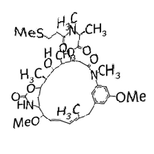 COc1cc2cc(c1)N(C)C(=O)C[C@H](OC(=O)[C@H](C)N(C)C(=O)CCSC)C(C)C(O)[C@H](C)C1CC(NC(=O)O1)[C@H](OC)/C=C/C=C(\C)C2